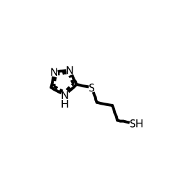 SCCCSc1nnc[nH]1